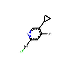 N#Cc1c[c]([Mg][Cl])ncc1C1CC1